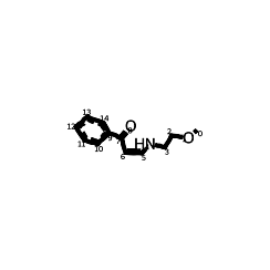 COCCN/C=C\C(=O)c1ccccc1